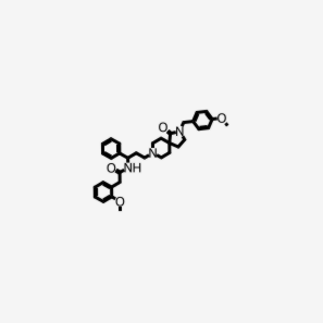 COc1ccc(CN2CCC3(CCN(CCC(NC(=O)Cc4ccccc4OC)c4ccccc4)CC3)C2=O)cc1